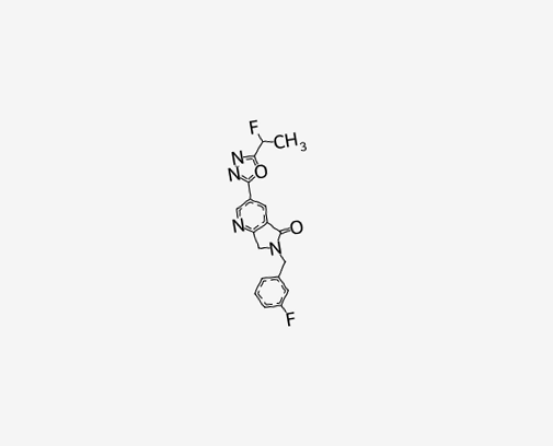 CC(F)c1nnc(-c2cnc3c(c2)C(=O)N(Cc2cccc(F)c2)C3)o1